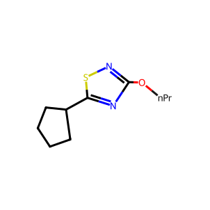 CCCOc1nsc(C2CCCC2)n1